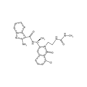 CNC(=O)NCCn1c([C@H](C)NC(=O)c2c(N)nn3cccnc23)cc2cccc(Cl)c2c1=O